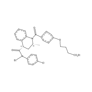 CCOC(=O)CCCOc1ccc(C(=O)N2c3ccccc3[C@@H](C(=O)N(CC)c3ccc(Cl)cc3)C[C@H]2C)cc1